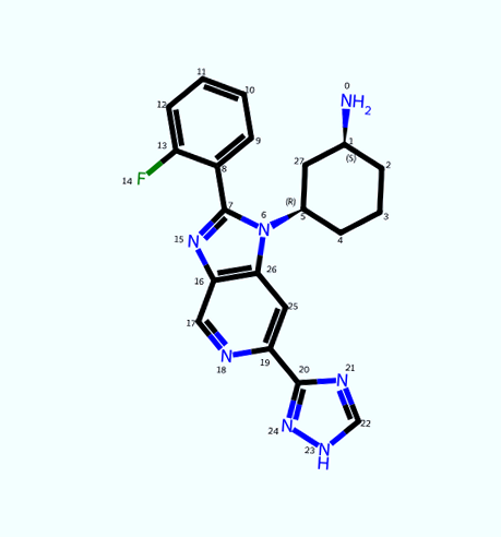 N[C@H]1CCC[C@@H](n2c(-c3ccccc3F)nc3cnc(-c4nc[nH]n4)cc32)C1